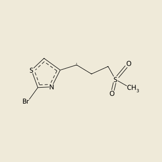 CS(=O)(=O)CC[CH]c1csc(Br)n1